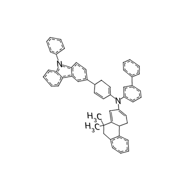 CC1(C)Cc2ccccc2C2CC=C(N(C3=CCC(c4ccc5c(c4)c4ccccc4n5-c4ccccc4)C=C3)c3cccc(-c4ccccc4)c3)C=C21